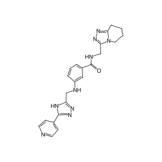 O=C(NCc1nnc2n1CCCC2)c1cccc(NCc2nnc(-c3ccncc3)[nH]2)c1